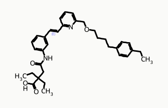 CCc1ccc(CCCCOCc2cccc(/C=C/c3cccc(NC(=O)CC(CC)(CC)C(=O)O)c3)n2)cc1